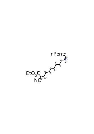 CCCCC/C=C\CCCCCCCCC(C#N)C(=O)OCC